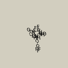 [2H]C([2H])(COC)N1CCC(N(C(=O)Cn2c(SCc3cccc(F)c3F)cc(=O)c3ccccc32)C([2H])([2H])c2ccc(-c3ccc(C(F)(F)F)cc3)cc2)CC1